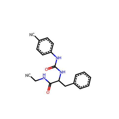 N#CCNC(=O)C(Cc1ccccc1)NC(=O)Nc1ccc(C#N)cc1